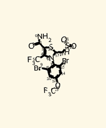 NC(=O)C1=C(C(F)(F)F)N(c2c(Br)cc(OC(F)(F)F)cc2Br)C(C[SH](=O)=O)S1